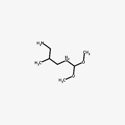 COC(OC)[SiH2]CC(C)CN